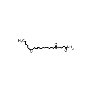 CCCCCC1OC1CC=CCCCCCCCC(=O)NCCCC(N)=O